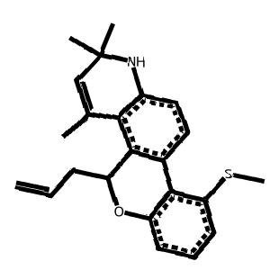 C=CCC1Oc2cccc(SC)c2-c2ccc3c(c21)C(C)=CC(C)(C)N3